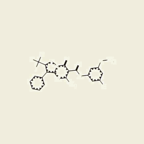 COc1cc(Cl)cc(NC(=O)c2c(C)[nH]c3c(-c4ccccc4)c(C(F)(F)F)nn3c2=O)c1